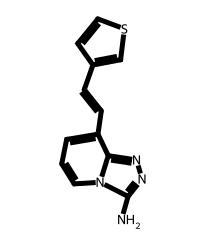 Nc1nnc2c(/C=C/c3ccsc3)cccn12